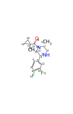 C[C@@H]1CNC(c2ccc(F)c(F)c2)CN1C(=O)C1(C)CC1